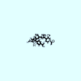 COC1CN(C(C)=O)CCC1c1nc(-c2cncc([C@@](O)(c3ccc(C(C)C)cc3)C3(C)CN(C)C3)c2)no1